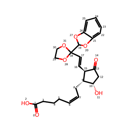 O=C(O)CCC/C=C\C[C@H]1[C@@H](O)CC(=O)[C@@H]1/C=C/C1(C2Oc3ccccc3O2)OCCO1